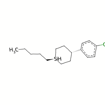 CCCCC[Si@H]1CC[C@H](c2ccc(Cl)cc2)CC1